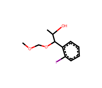 COCOC(c1ccccc1I)C(C)O